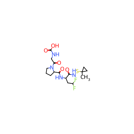 CC1(SNC(=O)C(CC(F)F)NC(=O)C2CCCN2C(=O)CNC(=O)O)CC1